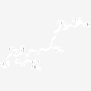 CC(C)=CCCC(C)=CCCC(C)=CCSCC(NC(=O)C(C)CC(=O)O)C(=O)NN